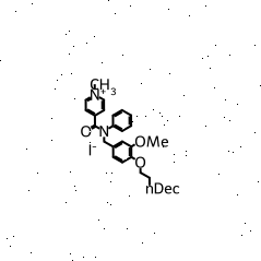 CCCCCCCCCCCCOc1ccc(CN(C(=O)c2cc[n+](C)cc2)c2ccccc2)cc1OC.[I-]